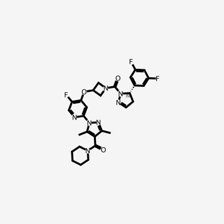 Cc1nn(-c2cc(OC3CN(C(=O)N4N=CC[C@H]4c4cc(F)cc(F)c4)C3)c(F)cn2)c(C)c1C(=O)N1CCCCC1